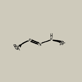 BrP=NPBr